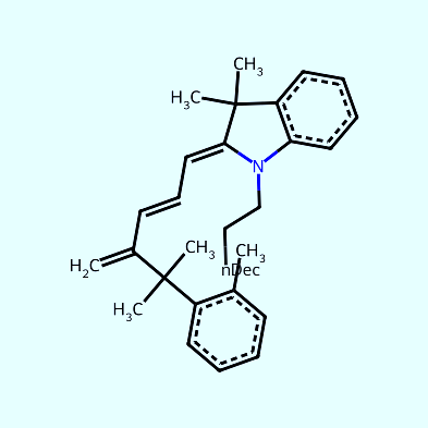 C=C(/C=C/C=C1\N(CCCCCCCCCCCC)c2ccccc2C1(C)C)C(C)(C)c1ccccc1C